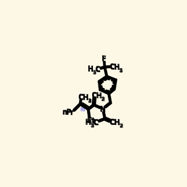 C=C(C)N(Cc1ccc(C(C)(C)F)cc1)C(=C)/C(CC)=C(\C)CCC